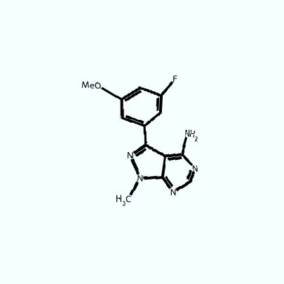 COc1cc(F)cc(-c2nn(C)c3ncnc(N)c23)c1